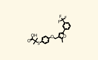 Cc1oc(-c2cccc(C(F)(F)F)c2)cc1COc1ccc(SC(C)(C)C(=O)O)cc1